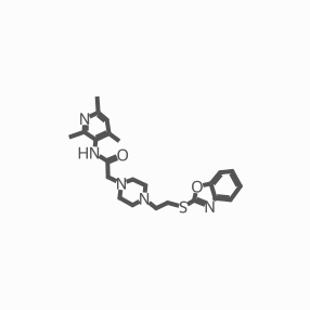 Cc1cc(C)c(NC(=O)CN2CCN(CCSc3nc4ccccc4o3)CC2)c(C)n1